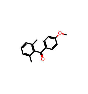 COc1ccc(C(=O)c2c(C)cccc2C)cc1